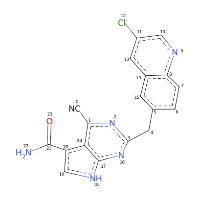 N#Cc1nc(Cc2ccc3ncc(Cl)cc3c2)nc2[nH]cc(C(N)=O)c12